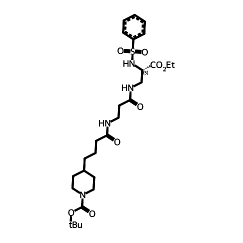 CCOC(=O)[C@H](CNC(=O)CCNC(=O)CCCC1CCN(C(=O)OC(C)(C)C)CC1)NS(=O)(=O)c1ccccc1